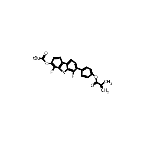 C=C(C)C(=O)Oc1ccc(-c2ccc3c(sc4c(F)c(OC(=O)C(C)(C)C)ccc43)c2F)cc1